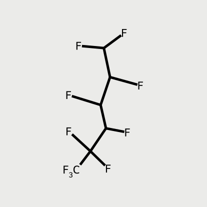 FC(F)C(F)C(F)C(F)C(F)(F)C(F)(F)F